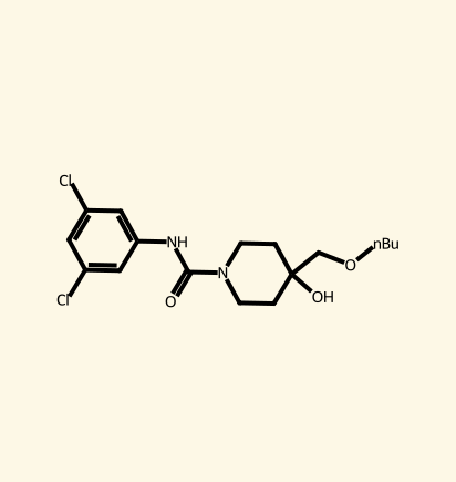 CCCCOCC1(O)CCN(C(=O)Nc2cc(Cl)cc(Cl)c2)CC1